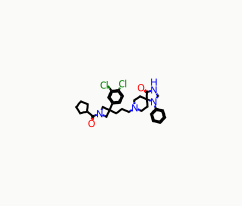 O=C(C1CCCC1)N1CC(CCCN2CCC3(CC2)C(=O)NCN3c2ccccc2)(c2ccc(Cl)c(Cl)c2)C1